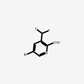 O=Cc1ncc(Br)cc1C(F)F